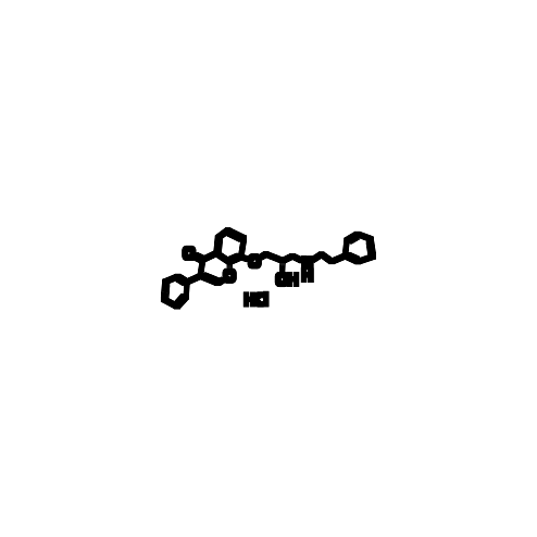 Cl.O=c1c(-c2ccccc2)coc2c(OCC(O)CNCCc3ccccc3)cccc12